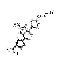 N=C(N)c1ccc(C(=O)N2C[C@H](O)C[C@H]2C(=O)N2CCC(OCC(=O)O)CC2)cc1